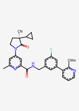 COc1ncccc1-c1cc(F)cc(CNC(=O)c2cc(N3CC[C@@](C#N)(C4CC4)C3=O)cc(C)n2)c1